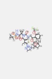 Cc1c(-n2nccn2)sc2c1c(=O)n(C1(C(=O)NS(=O)(=O)C3(C)CC3)CC1)c(=O)n2CC(OC1C[C@H]2CC[C@@H](C1)O2)c1ccccc1OC(F)F